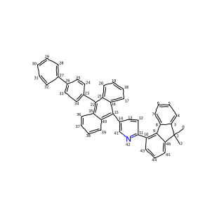 CC1(C)c2ccccc2-c2c(-c3ccc(-c4c5ccccc5c(-c5ccc(-c6ccccc6)cc5)c5ccccc45)cn3)cccc21